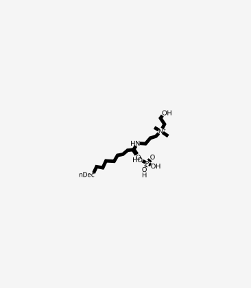 CCCCCCCCCCCCCCCCCC(=O)NCCC[N+](C)(C)CCO.O=P(O)(O)O